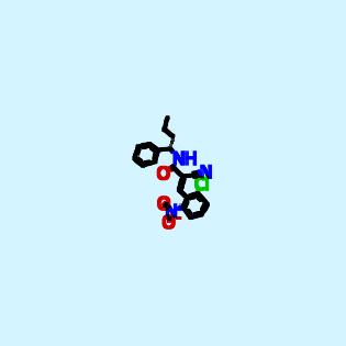 CCC[C@H](NC(=O)/C(C#N)=C/c1c(Cl)cccc1[N+](=O)[O-])c1ccccc1